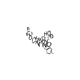 Cc1ccc(Cn2c(=O)n(C[C@H](C)C(=O)O)c(=O)[nH]/c2=N\c2ccc(Oc3ccc(F)cn3)cc2)cc1